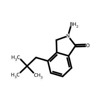 BN1Cc2c(CC(C)(C)C)cccc2C1=O